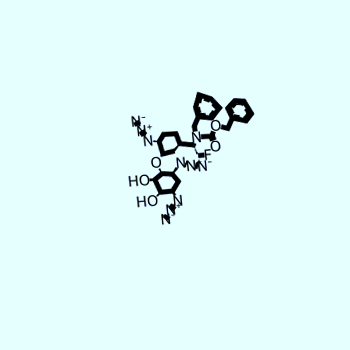 [N-]=[N+]=N[C@H]1C[C@@H](N=[N+]=[N-])[C@H](O)[C@@H](O)[C@@H]1O[C@H]1C[C@H]([C@@H](CF)N(Cc2ccccc2)C(=O)OCc2ccccc2)CC[C@H]1N=[N+]=[N-]